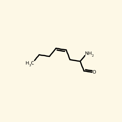 CCC/C=C\CC(N)C=O